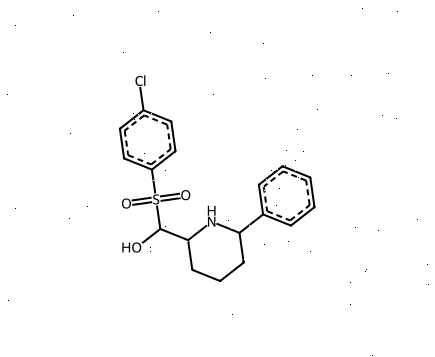 O=S(=O)(c1ccc(Cl)cc1)C(O)C1CCCC(c2ccccc2)N1